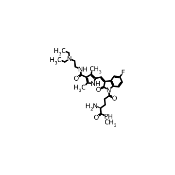 CCN(CC)CCNC(=O)c1c(C)[nH]c(/C=C2\C(=O)N(C(=O)CC[C@H](N)C(=O)PC)c3ccc(F)cc32)c1C